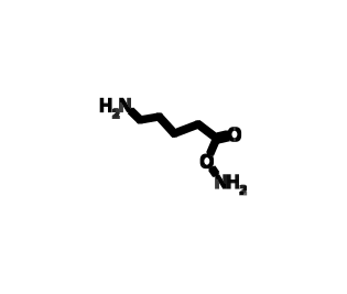 NCCCCC(=O)ON